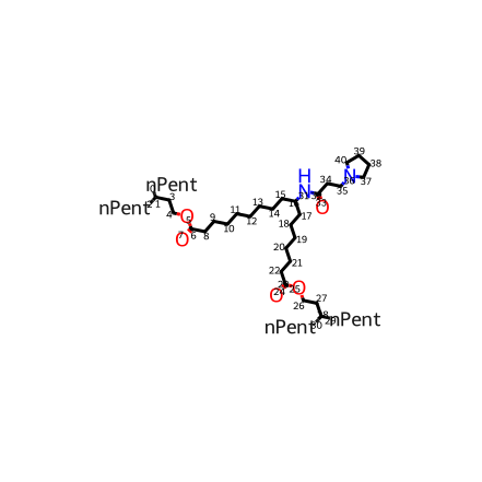 CCCCCC(CCCCC)CCOC(=O)CCCCCCCCC(CCCCCCC(=O)OCCC(CCCCC)CCCCC)NC(=O)CCN1CCCC1